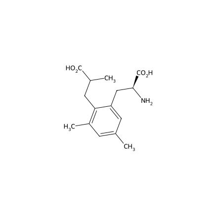 Cc1cc(C)c(CC(C)C(=O)O)c(C[C@H](N)C(=O)O)c1